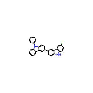 Fc1ccc2[nH]c3ccc(-c4ccc5c(c4)c4ccccc4n5-c4ccccc4)cc3c2c1